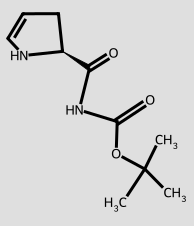 CC(C)(C)OC(=O)NC(=O)[C@@H]1CC=CN1